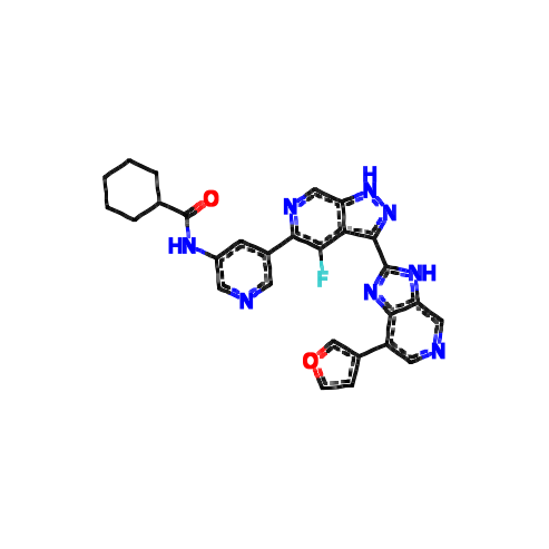 O=C(Nc1cncc(-c2ncc3[nH]nc(-c4nc5c(-c6ccoc6)cncc5[nH]4)c3c2F)c1)C1CCCCC1